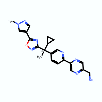 Cn1cc(-c2nc([C@@](C)(c3ccc(-c4cnc(CN)cn4)nc3)C3CC3)no2)cn1